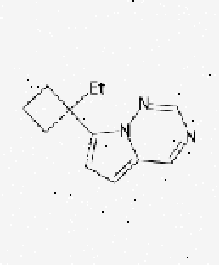 CCC1(c2ccc3cncnn23)CCC1